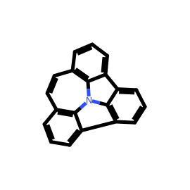 C1=Cc2cccc3c4cccc5c6cccc1c6n(c23)c54